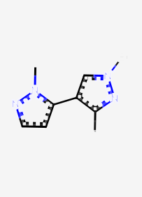 CCn1cc(-c2ccnn2C)c(C(F)(F)F)n1